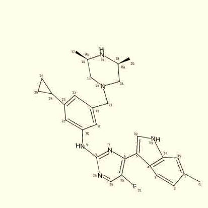 Cc1ccc2c(-c3nc(Nc4cc(CN5C[C@@H](C)N[C@@H](C)C5)cc(C5CC5)c4)ncc3F)c[nH]c2c1